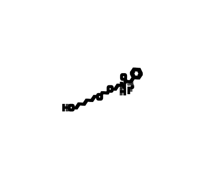 O=C(NCCOCCOCCCCCCO)[C@@H](CF)c1ccccc1